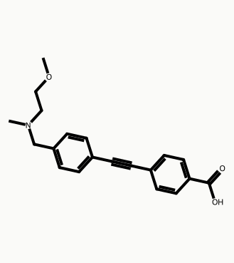 COCCN(C)Cc1ccc(C#Cc2ccc(C(=O)O)cc2)cc1